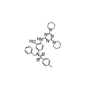 Cc1ccc(S(=O)(=O)N(Cc2ccccc2)c2ccc(Nc3nc(N4CCCCC4)nc(N4CCCCC4)n3)c(O)c2)cc1